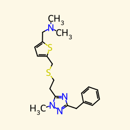 CN(C)Cc1ccc(CSCCc2nc(Cc3ccccc3)nn2C)s1